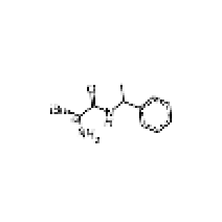 CCC(C)[C@H](N)C(=O)NC(C)c1ccccc1